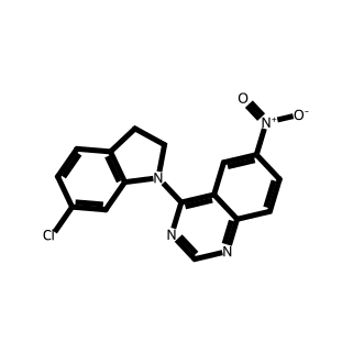 O=[N+]([O-])c1ccc2ncnc(N3CCc4ccc(Cl)cc43)c2c1